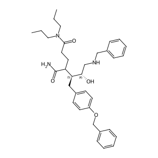 CCCN(CCC)C(=O)CCC(C(N)=O)[C@H](Cc1ccc(OCc2ccccc2)cc1)[C@@H](O)CNCc1ccccc1